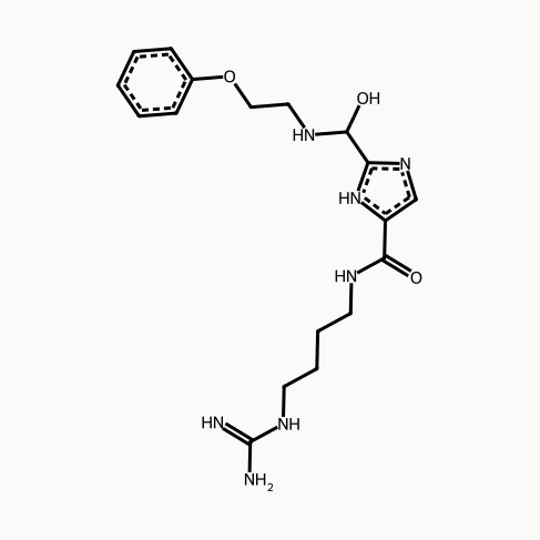 N=C(N)NCCCCNC(=O)c1cnc(C(O)NCCOc2ccccc2)[nH]1